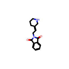 O=C1c2ccccc2C(=O)N1C/C=C1\CCCNC1